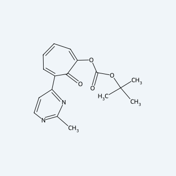 Cc1nccc(-c2ccccc(OC(=O)OC(C)(C)C)c2=O)n1